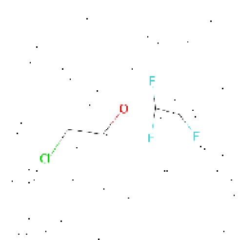 FCC(F)(F)O[CH]CCl